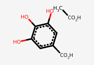 CC(=O)O.O=C(O)c1cc(O)c(O)c(O)c1